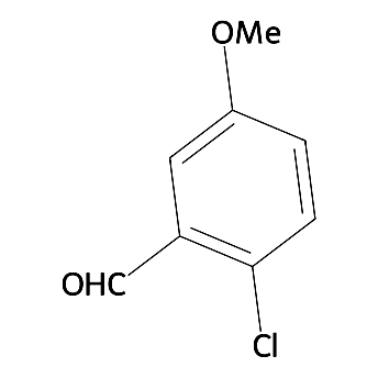 COc1ccc(Cl)c(C=O)c1